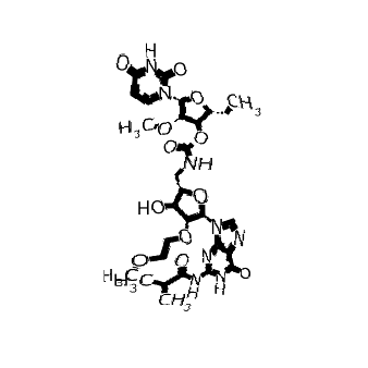 CC[C@H]1O[C@@H](n2ccc(=O)[nH]c2=O)[C@@H](OC)C1OC(=O)NC[C@H]1O[C@@H](n2cnc3c(=O)[nH]c(NC(=O)C(C)C)nc32)[C@@H](OCCOC)C1O